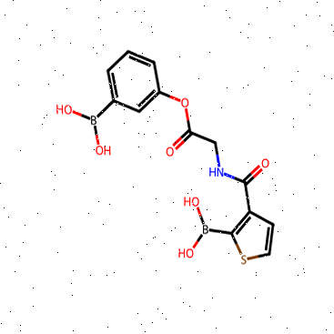 O=C(CNC(=O)c1ccsc1B(O)O)Oc1cccc(B(O)O)c1